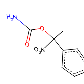 CC(OC(N)=O)(c1ccccc1)[N+](=O)[O-]